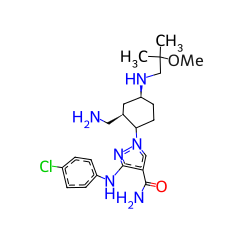 COC(C)(C)CN[C@H]1CCC(n2cc(C(N)=O)c(Nc3ccc(Cl)cc3)n2)[C@@H](CN)C1